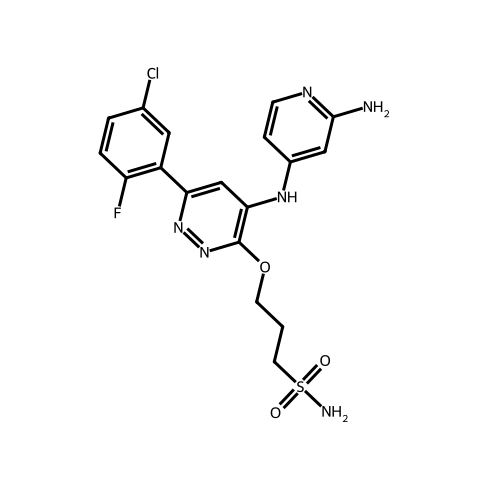 Nc1cc(Nc2cc(-c3cc(Cl)ccc3F)nnc2OCCCS(N)(=O)=O)ccn1